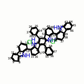 Clc1ccc2c([nH]c3ccccc32)c1-c1cccc2c1[nH]c1c(-c3ccccc3)c3c([nH]c4c(-c5c(Cl)ccc6c5[nH]c5ccccc56)cccc43)c(-c3ccccc3)c12